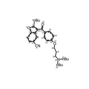 CCCCc1oc2ccc(C#N)cc2c1C(=O)c1ccc(OCCCN(CCCC)CCCC)cc1